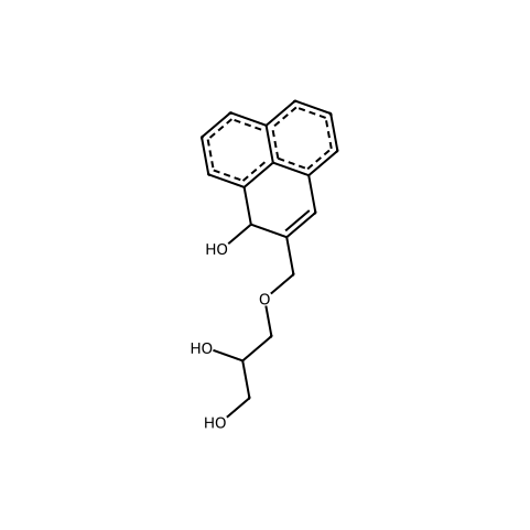 OCC(O)COCC1=Cc2cccc3cccc(c23)C1O